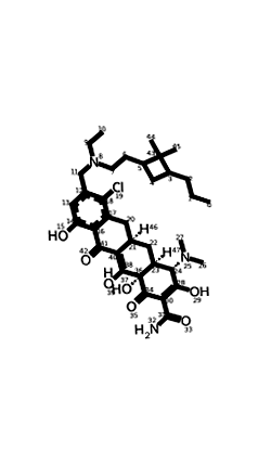 CCCC1CC(CCN(CC)Cc2cc(O)c3c(c2Cl)C[C@H]2C[C@H]4[C@H](N(C)C)C(O)=C(C(N)=O)C(=O)[C@@]4(O)C(O)=C2C3=O)C1(C)C